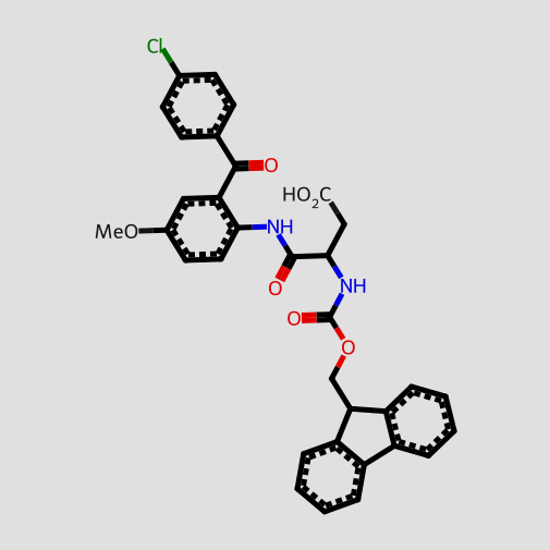 COc1ccc(NC(=O)C(CC(=O)O)NC(=O)OCC2c3ccccc3-c3ccccc32)c(C(=O)c2ccc(Cl)cc2)c1